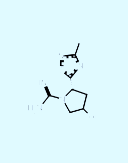 Cc1noc([C@@H]2CC(O)CN2C(=N)N)n1